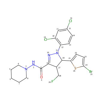 O=C(NN1CCCCC1)C1=NN(c2ccc(Cl)cc2Cl)C(c2ccc(Br)s2)C1CF